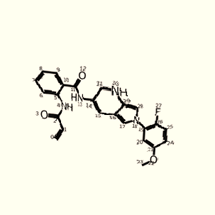 C=CC(=O)Nc1ccccc1C(=O)NC1=Cc2cn(-c3cc(OC)ccc3F)cc2NC1